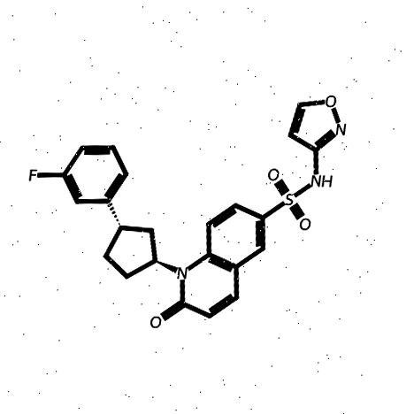 O=c1ccc2cc(S(=O)(=O)Nc3ccon3)ccc2n1[C@H]1CC[C@H](c2cccc(F)c2)C1